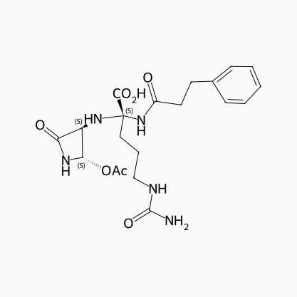 CC(=O)O[C@@H]1NC(=O)[C@H]1N[C@@](CCCNC(N)=O)(NC(=O)CCc1ccccc1)C(=O)O